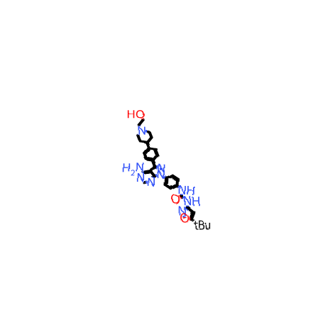 CC(C)(C)c1cc(NC(=O)Nc2ccc(-n3nc(-c4ccc(C5CCN(CCO)CC5)cc4)c4c(N)ncnc43)cc2)no1